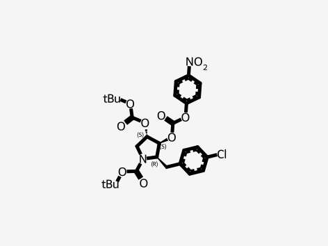 CC(C)(C)OC(=O)O[C@H]1CN(C(=O)OC(C)(C)C)[C@H](Cc2ccc(Cl)cc2)[C@@H]1OC(=O)Oc1ccc([N+](=O)[O-])cc1